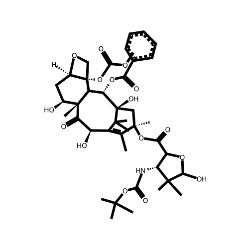 COC(=O)O[C@@]12CO[C@@H]1C[C@H](O)[C@@]1(C)C(=O)[C@H](O)C3=C(C)[C@](C)(OC(=O)C4OC(O)C(C)(C)[C@@H]4NC(=O)OC(C)(C)C)C[C@@](O)([C@@H](OC(=O)c4ccccc4)C12)C3(C)C